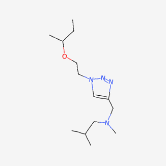 CCC(C)OCCn1cc(CN(C)CC(C)C)nn1